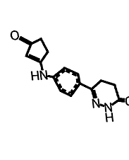 O=C1C=C(Nc2ccc(C3=NNC(=O)CC3)cc2)CC1